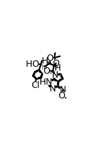 CON=c1nc[nH]c2c1ccn2[C@@H]1O[C@H](C(C)(O)c2ccc(Cl)cc2)[C@H]2OC(C)(C)O[C@H]21